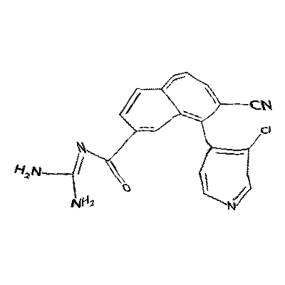 N#Cc1ccc2ccc(C(=O)N=C(N)N)cc2c1-c1ccncc1Cl